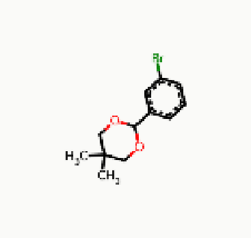 CC1(C)COC(c2cccc(Br)c2)OC1